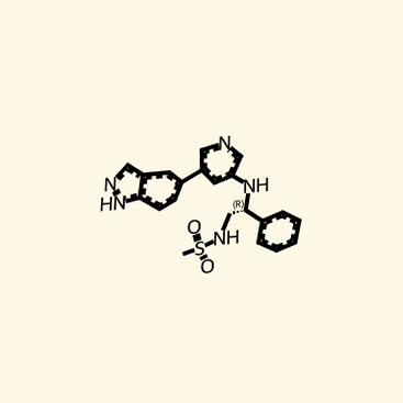 CS(=O)(=O)NC[C@H](Nc1cncc(-c2ccc3[nH]ncc3c2)c1)c1ccccc1